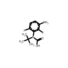 CC(C)(C)N(C(=O)O)c1c(F)ccc(N)c1F